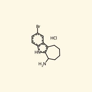 Cl.NC1CCCCc2c1[nH]c1ccc(Br)cc21